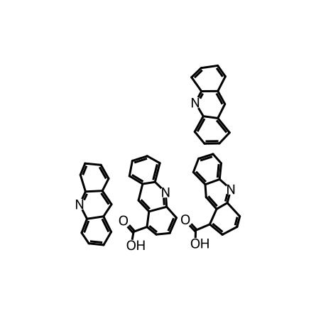 O=C(O)c1cccc2nc3ccccc3cc12.O=C(O)c1cccc2nc3ccccc3cc12.c1ccc2nc3ccccc3cc2c1.c1ccc2nc3ccccc3cc2c1